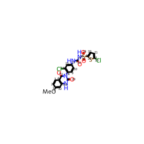 COc1ccc2c(=O)n(-c3ccc(NC(=O)NS(=O)(=O)c4ccc(Cl)s4)cc3Cl)c(=O)[nH]c2c1